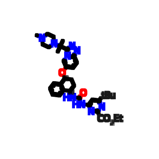 CCOC(=O)c1nc(NC(=O)N[C@H]2CC[C@@H](Oc3ccc4nnc(C(C)(C)N5CCN(C)CC5)n4c3)c3ccccc32)cc(C(C)(C)C)n1